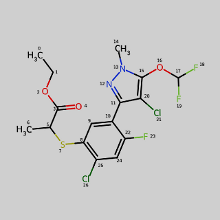 CCOC(=O)C(C)Sc1cc(-c2nn(C)c(OC(F)F)c2Cl)c(F)cc1Cl